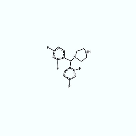 Fc1ccc(C(c2ccc(F)cc2F)N2CCNCC2)c(F)c1